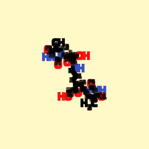 Cc1cn(C2CC(O)C(NCCC[C@H]3C[C@H](n4cc(C)c(=O)[nH]c4=O)O[C@@H]3CO)O2)c(=O)[nH]c1=O